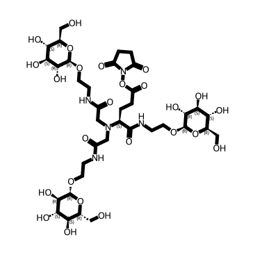 O=C(CN(CC(=O)NCCO[C@@H]1O[C@H](CO)[C@@H](O)[C@H](O)[C@H]1O)[C@@H](CCC(=O)ON1C(=O)CCC1=O)C(=O)NCCO[C@@H]1O[C@H](CO)[C@@H](O)[C@H](O)[C@H]1O)NCCO[C@@H]1O[C@H](CO)[C@@H](O)[C@H](O)[C@H]1O